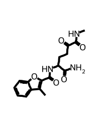 CNC(=O)C(=O)CCC(NC(=O)c1oc2ccccc2c1C)C(N)=O